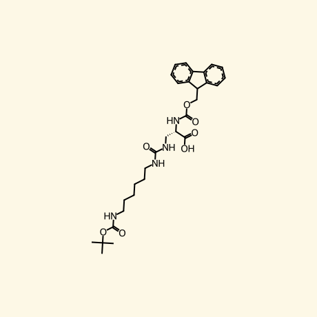 CC(C)(C)OC(=O)NCCCCCCNC(=O)NC[C@H](NC(=O)OCC1c2ccccc2-c2ccccc21)C(=O)O